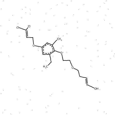 CCc1cc(OCC=C(Cl)Cl)cc(C)c1OCCOCCC=NO